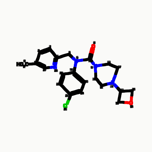 O=C(O)c1ccc(CN(C(=O)N2CCN(C3COC3)CC2)c2ccc(Cl)cc2)nc1